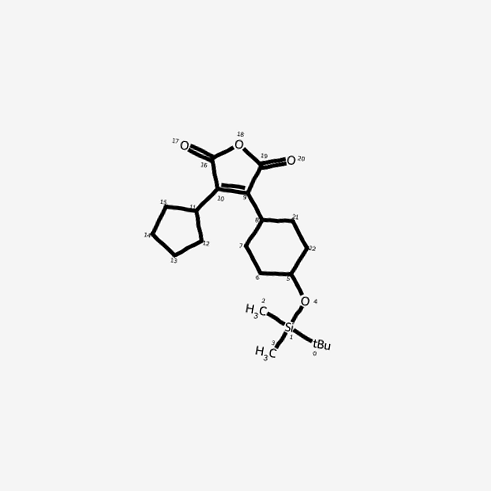 CC(C)(C)[Si](C)(C)OC1CCC(C2=C(C3CCCC3)C(=O)OC2=O)CC1